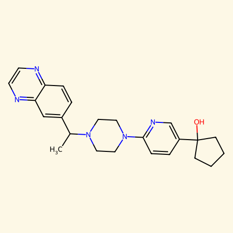 CC(c1ccc2nccnc2c1)N1CCN(c2ccc(C3(O)CCCC3)cn2)CC1